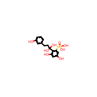 O=P(O)(O)Sc1cc(O)cc(O)c1C(O)(O)CCc1cccc(O)c1